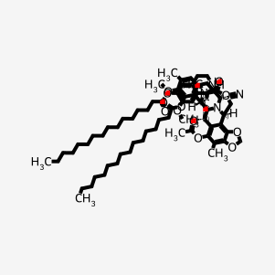 CCCCCCCCCCCCCCCC(=O)Oc1cc2c(cc1OC)[C@@]1(CS[C@@H]3c4c(OC(C)=O)c(C)c5c(c4[C@H](COC1=O)N1C3[C@@H]3c4c(cc(C)c(OC)c4OC(=O)CCCCCCCCCCCCCCC)C[C@H]([C@@H]1C#N)N3C)OCO5)NCC2